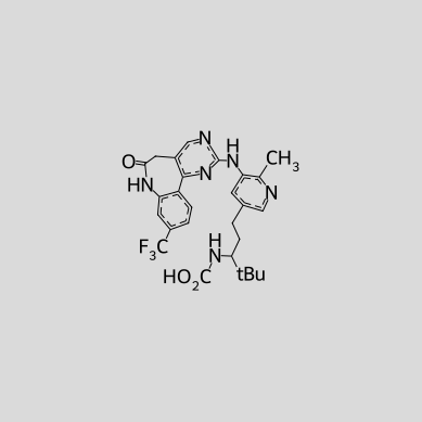 Cc1ncc(CCC(NC(=O)O)C(C)(C)C)cc1Nc1ncc2c(n1)-c1ccc(C(F)(F)F)cc1NC(=O)C2